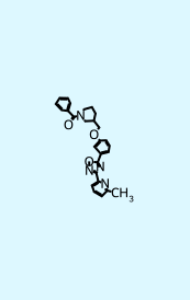 Cc1cccc(-c2noc(-c3cccc(OCC4CCCN(C(=O)c5ccccc5)C4)c3)n2)n1